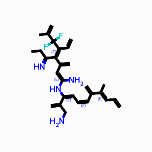 C=C/C=C(\C)C(=C)/C=C\C=C(\N/C(N)=C/C(=C)/C(C(=N)CC)=C(\C=C)C(F)(F)C(=C)C)C(=C)CN